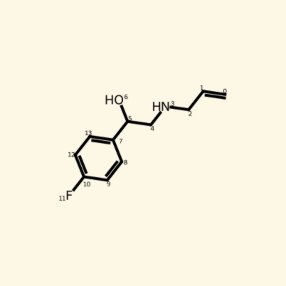 C=CCNCC(O)c1ccc(F)cc1